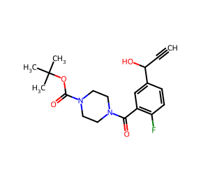 C#CC(O)c1ccc(F)c(C(=O)N2CCN(C(=O)OC(C)(C)C)CC2)c1